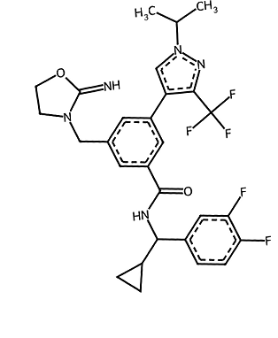 CC(C)n1cc(-c2cc(CN3CCOC3=N)cc(C(=O)NC(c3ccc(F)c(F)c3)C3CC3)c2)c(C(F)(F)F)n1